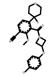 COc1c(C#N)ccc(C2(F)CCOCC2)c1C(=O)N1CC(Oc2ccc(Cl)cc2)C1